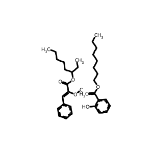 CCCCCC(CC)OC(=O)C(=Cc1ccccc1)OC.CCCCCCCCOC(=O)c1ccccc1O